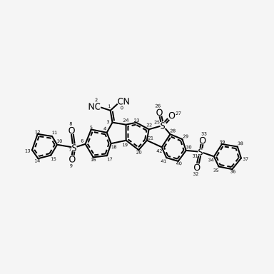 N#CC(C#N)=C1c2cc(S(=O)(=O)c3ccccc3)ccc2-c2cc3c(cc21)S(=O)(=O)c1cc(S(=O)(=O)c2ccccc2)ccc1-3